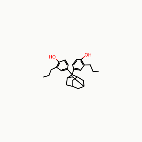 CCCc1cc(C2(c3ccc(O)c(CCC)c3)C3CC4CC(C3)CC2C4)ccc1O